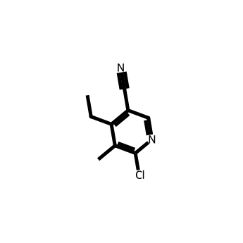 CCc1c(C#N)cnc(Cl)c1C